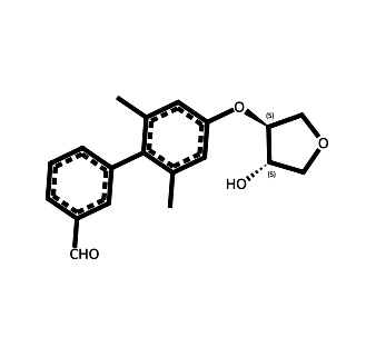 Cc1cc(O[C@H]2COC[C@@H]2O)cc(C)c1-c1cccc(C=O)c1